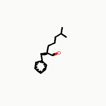 CC(C)CCCC(C=O)=Cc1ccccc1